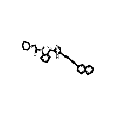 C[C@H](c1ncc(C#CC#Cc2ccc3ccccc3c2)[nH]1)c1ccccc1N(C)C(=O)CN1CCCCC1